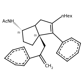 C=C(C[C@@]12CC[C@H](NC(C)=O)C1CC(CCCCCC)=C2c1ccccc1)c1ccccc1